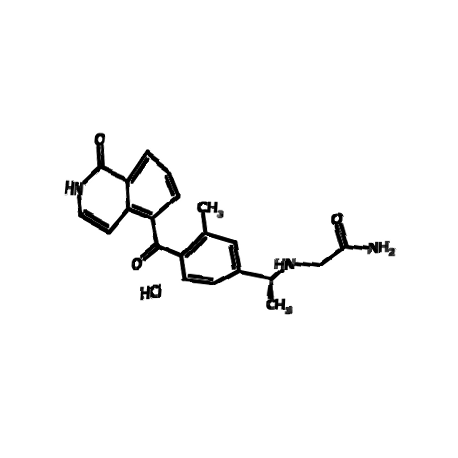 Cc1cc([C@H](C)NCC(N)=O)ccc1C(=O)c1cccc2c(=O)[nH]ccc12.Cl